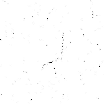 CCCCC/C=C/CCOC(C)CCCCCCCC(C)=O